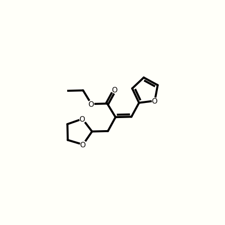 CCOC(=O)C(=Cc1ccco1)CC1OCCO1